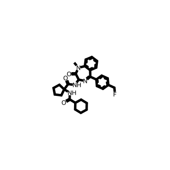 CN1C(=O)C(NC(=O)C2(NC(=O)C3CCCCC3)CCCC2)N=C(c2ccc(CF)cc2)c2ccccc21